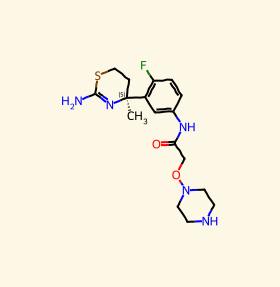 C[C@@]1(c2cc(NC(=O)CON3CCNCC3)ccc2F)CCSC(N)=N1